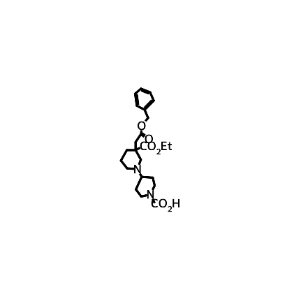 CCOC(=O)C1(CC(=O)OCc2ccccc2)CCCN(C2CCN(C(=O)O)CC2)C1